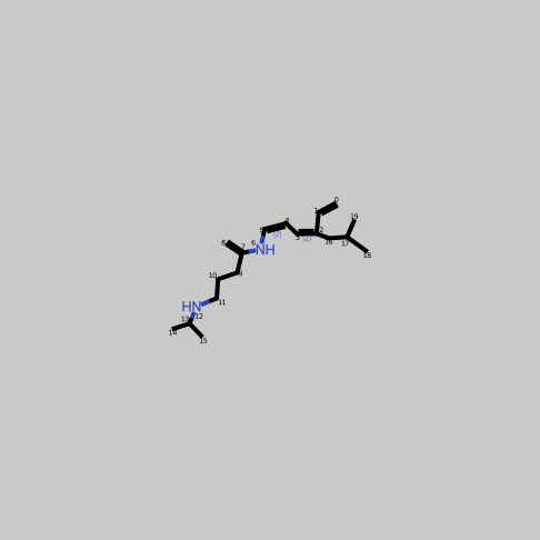 C=C/C(=C\C=C/NC(=C)CCCNC(C)C)CC(C)C